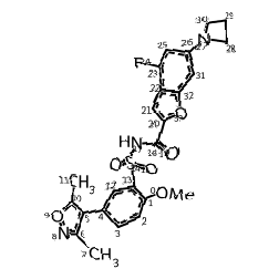 COc1ccc(-c2c(C)noc2C)cc1S(=O)(=O)NC(=O)c1cc2c(F)cc(N3CCC3)cc2o1